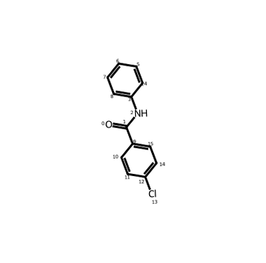 O=C(Nc1[c]cccc1)c1ccc(Cl)cc1